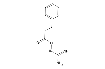 N=C(N)NOC(=O)CCc1ccccc1